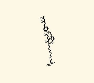 CC(=O)CC(=O)CCc1ccc(NC(=O)CCCC(=O)NCCOCCOCCOCCC(=O)O)cc1.O=C1C=CC(=O)N1